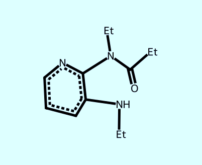 CCNc1cccnc1N(CC)C(=O)CC